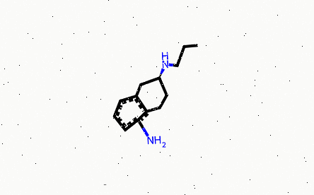 CCCN[C@H]1CCc2c(N)cccc2C1